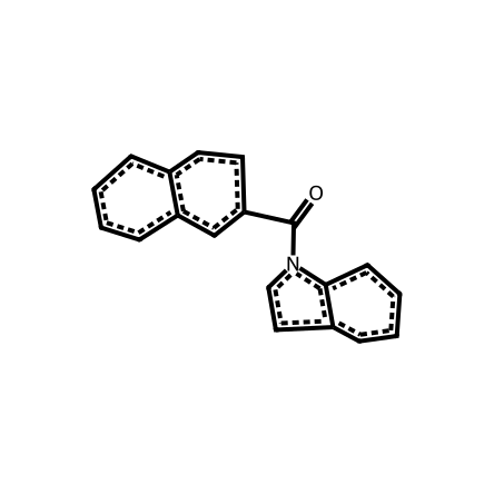 O=C(c1ccc2ccccc2c1)n1ccc2ccccc21